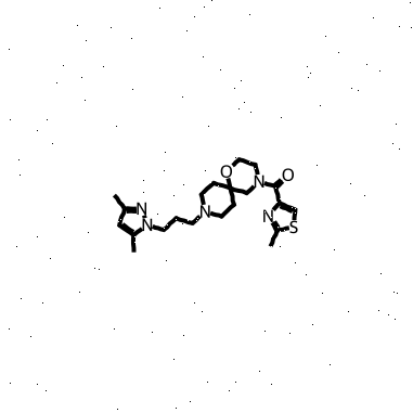 Cc1cc(C)n(CCCN2CCC3(CC2)CN(C(=O)c2csc(C)n2)CCO3)n1